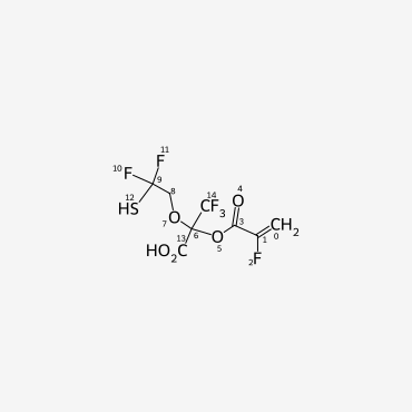 C=C(F)C(=O)OC(OCC(F)(F)S)(C(=O)O)C(F)(F)F